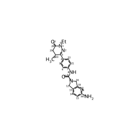 CCN1N=C(c2ccc(NC(=O)N3Cc4ccc(N)nc4C3)cc2)C(C)CC1=O